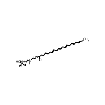 CCC=CCC=CCC=CCC=CCC=CCC=CCCC(=O)NCCNCCNP(=O)(O)O